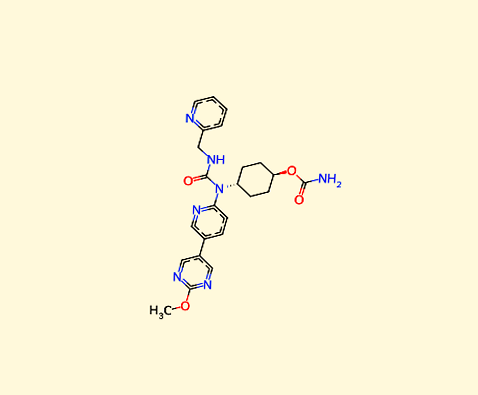 COc1ncc(-c2ccc(N(C(=O)NCc3ccccn3)[C@H]3CC[C@H](OC(N)=O)CC3)nc2)cn1